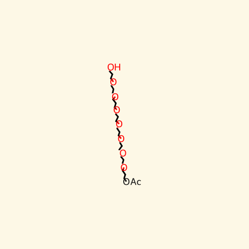 CC(=O)OCCCOCCCOCCCOCCCOCCCOCCCOCCCOCCCO